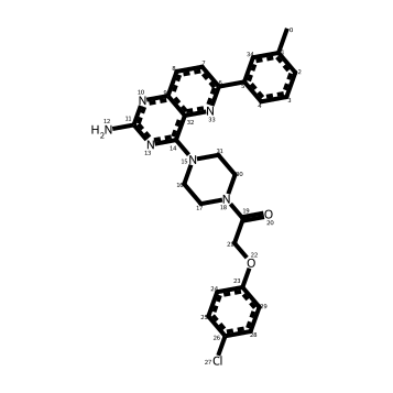 Cc1cccc(-c2ccc3nc(N)nc(N4CCN(C(=O)COc5ccc(Cl)cc5)CC4)c3n2)c1